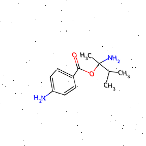 CC(C)C(C)(N)OC(=O)c1ccc(N)cc1